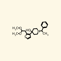 COC(Cc1sccc1C1(O)CCN(C(C)c2ccccc2)CC1)OC